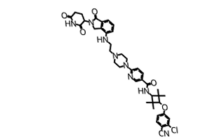 CC1(C)C(NC(=O)c2ccc(N3CCN(CCNc4cccc5c4CN(C4CCC(=O)NC4=O)C5=O)CC3)nc2)C(C)(C)C1Oc1ccc(C#N)c(Cl)c1